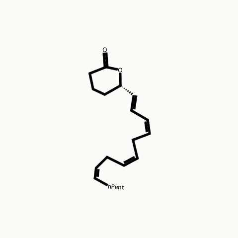 CCCCC/C=C\C/C=C\C/C=C\C=C\[C@@H]1CCCC(=O)O1